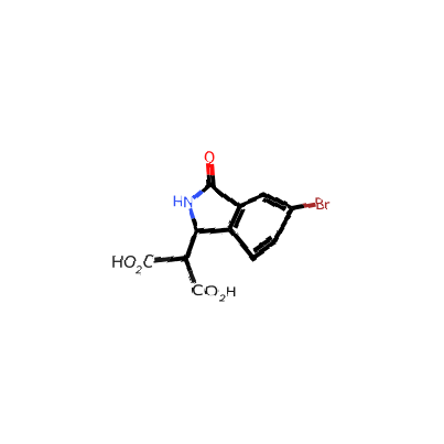 O=C1NC(C(C(=O)O)C(=O)O)c2ccc(Br)cc21